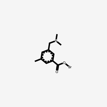 Cc1cc(CN(C)C)cc(C(=O)OBr)c1